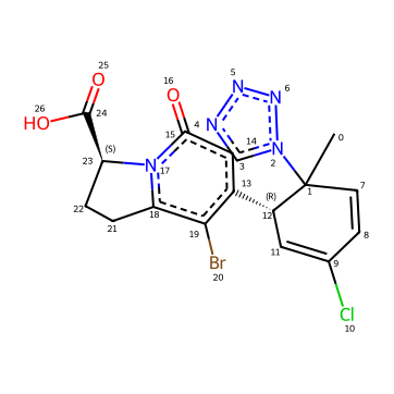 CC1(n2cnnn2)C=CC(Cl)=C[C@@H]1c1cc(=O)n2c(c1Br)CC[C@H]2C(=O)O